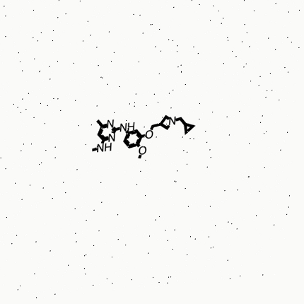 CNc1cc(C)nc(Nc2ccc(OC)c(OCC3CN(CC4CC4)C3)c2)n1